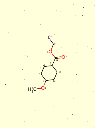 COC1CCC(C(=O)OCI)CC1